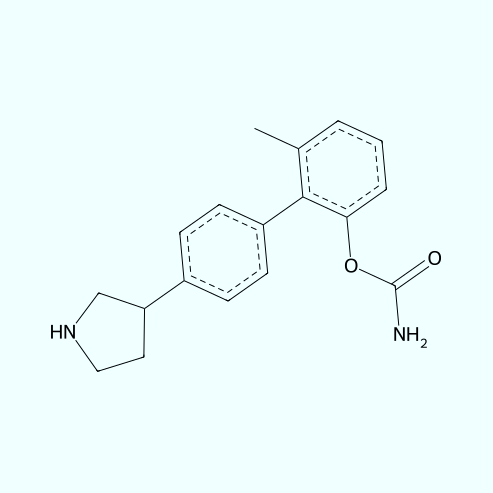 Cc1cccc(OC(N)=O)c1-c1ccc(C2CCNC2)cc1